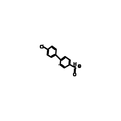 O=[SH](=O)c1c[c]c(-c2ccc(Cl)cc2)cc1